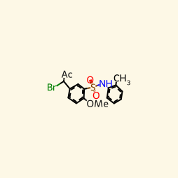 COc1ccc(C(Br)C(C)=O)cc1S(=O)(=O)Nc1ccccc1C